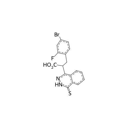 O=C(O)C(Cc1ccc(Br)cc1F)c1n[nH]c(=S)c2ccccc12